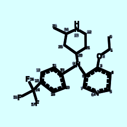 CCOc1ccncc1N(c1ccc(C(F)(F)F)cc1)C1CCNC(C)C1